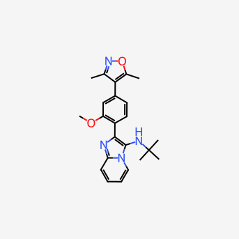 COc1cc(-c2c(C)noc2C)ccc1-c1nc2ccccn2c1NC(C)(C)C